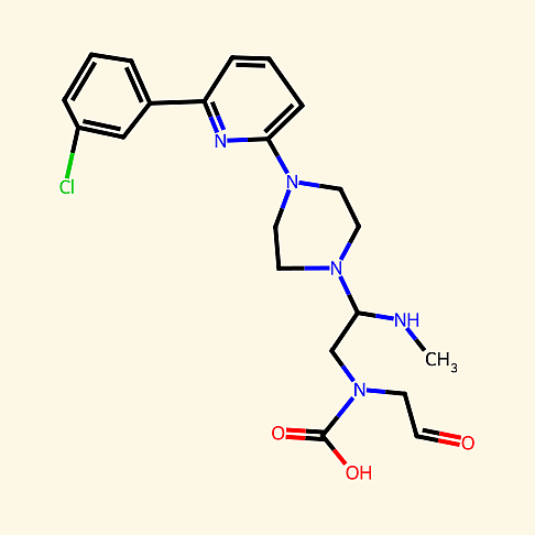 CNC(CN(CC=O)C(=O)O)N1CCN(c2cccc(-c3cccc(Cl)c3)n2)CC1